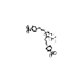 C=CC(CCCc1ccc([N+](=O)[O-])cc1)OC(C=C)CCCc1ccc([N+](=O)[O-])cc1